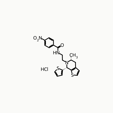 C[C@@H]1Cc2ccsc2[C@H](c2cccs2)N1CCNC(=O)c1ccc([N+](=O)[O-])cc1.Cl